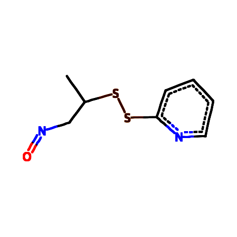 CC(CN=O)SSc1ccccn1